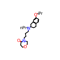 CCCN(CCCCN1CCOCCC1=O)C1CCc2ccc(OC(C)C)cc2C1